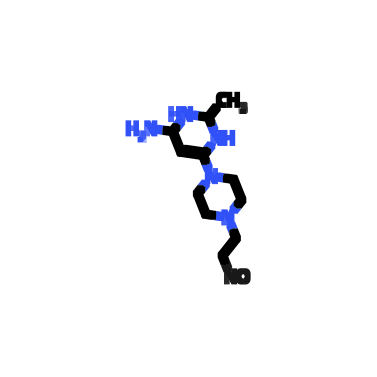 CC1NC(N2CCN(CCN=O)CC2)=CC(N)N1